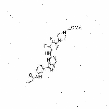 C=CC(=O)Nc1cccc(-c2ncc3cnc(Nc4ccc(N5CCN(CCOC)CC5)c(F)c4F)nn23)c1